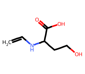 C=CNC(CCO)C(=O)O